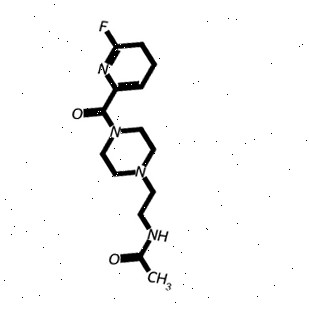 CC(=O)NCCN1CCN(C(=O)C2=CCCC(F)=N2)CC1